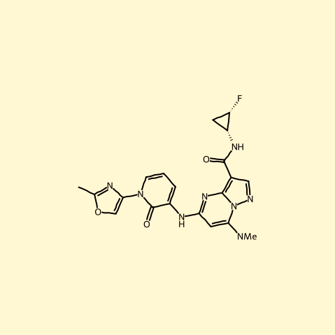 CNc1cc(Nc2cccn(-c3coc(C)n3)c2=O)nc2c(C(=O)N[C@@H]3C[C@@H]3F)cnn12